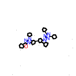 c1ccc(-c2nc(-c3ccccc3)nc(-n3c4ccccc4c4cc(-c5ccc6c(c5)n(-c5ccccc5)c5nc7c8ccccc8oc7n65)ccc43)n2)cc1